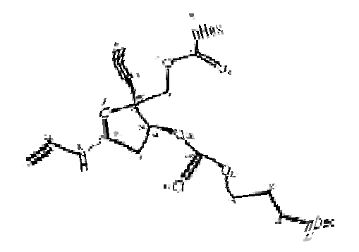 C#C[C@]1(COC(=O)CCCCCC)O[C@@H](NC=C)C[C@@H]1OC(=O)OCCCCCCCCCCCCC